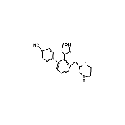 N#Cc1ccc(-c2cccc(CC3CNCCO3)c2C2CC=NS2)cc1